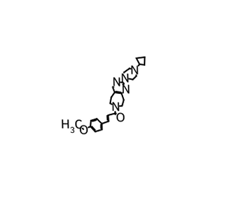 COc1ccc(C=CC(=O)N2CCc3cnc(N4CCN(C5CCC5)CC4)nc3CC2)cc1